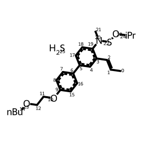 C/C=C/c1cc(-c2ccc(OCCOCCCC)cc2)ccc1N(C)SOC(C)C.S